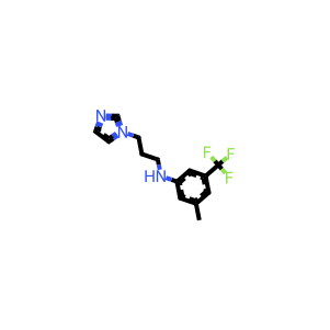 Cc1cc(NCCCn2ccnc2)cc(C(F)(F)F)c1